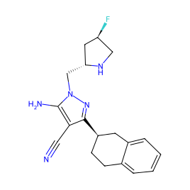 N#Cc1c([C@@H]2CCc3ccccc3C2)nn(C[C@@H]2C[C@@H](F)CN2)c1N